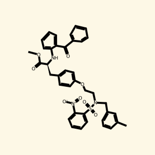 COC(=O)[C@H](Cc1ccc(OCCN(Cc2cccc(C)c2)S(=O)(=O)c2ccccc2[N+](=O)[O-])cc1)Nc1ccccc1C(=O)c1ccccc1